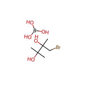 CC(C)(O)C(C)(O)CBr.OB(O)O